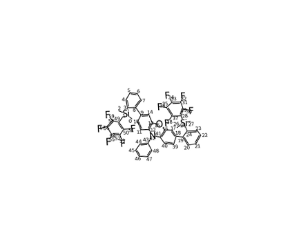 C[Si](C)(c1ccccc1-c1ccc2c(c1)Oc1cc(-c3ccccc3[Si](C)(C)c3c(F)c(F)c(F)c(F)c3F)ccc1N2c1ccccc1)c1c(F)c(F)c(F)c(F)c1F